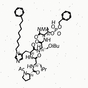 CNC(=O)[C@@H](NC(=O)[C@H](COCC(C)C)NC(=O)[C@H](Cc1cncn1CCCCCCCCc1ccccc1)NC(=O)[C@H](CC(C)C)NC(=O)[C@@H]1CCCN1C(C)=O)[C@@H](C)OP(=O)(O)OCc1ccccc1